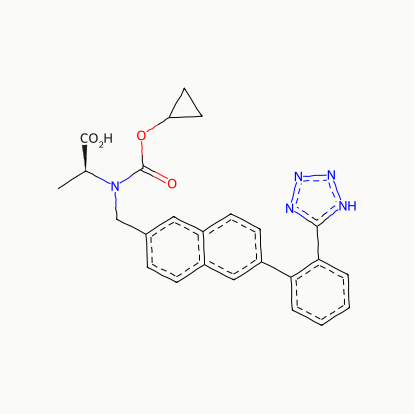 C[C@@H](C(=O)O)N(Cc1ccc2cc(-c3ccccc3-c3nnn[nH]3)ccc2c1)C(=O)OC1CC1